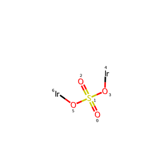 O=S(=O)([O][Ir])[O][Ir]